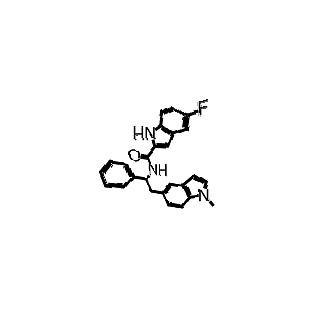 Cn1ccc2cc(CC(NC(=O)c3cc4cc(F)ccc4[nH]3)c3ccccc3)ccc21